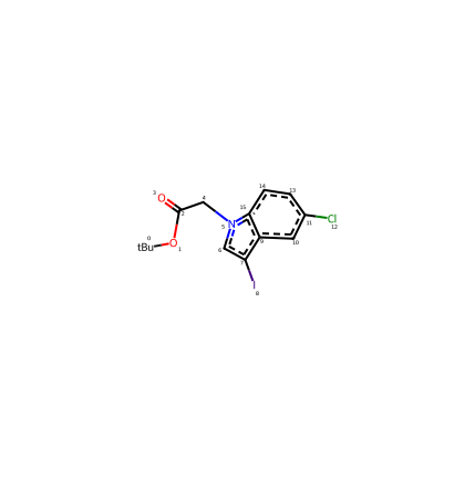 CC(C)(C)OC(=O)Cn1cc(I)c2cc(Cl)ccc21